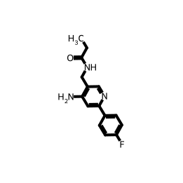 CCC(=O)NCc1cnc(-c2ccc(F)cc2)cc1N